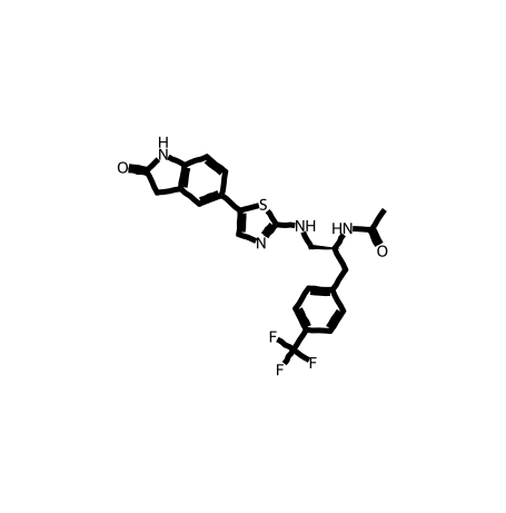 CC(=O)N[C@H](CNc1ncc(-c2ccc3c(c2)CC(=O)N3)s1)Cc1ccc(C(F)(F)F)cc1